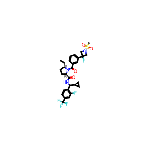 CC[C@@H]1CC[C@H](C(=O)NC(c2ccc(C(F)(F)F)cc2F)C2CC2)N1C(=O)c1cccc(C2(F)CN(S(C)(=O)=O)C2)c1